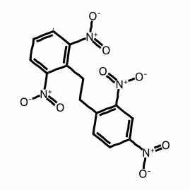 O=[N+]([O-])c1ccc(CCc2c([N+](=O)[O-])[c]ccc2[N+](=O)[O-])c([N+](=O)[O-])c1